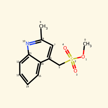 COS(=O)(=O)Cc1cc(C)nc2ccccc12